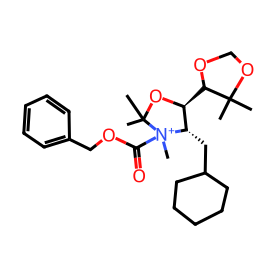 CC1(C)OCOC1[C@@H]1OC(C)(C)[N+](C)(C(=O)OCc2ccccc2)[C@H]1CC1CCCCC1